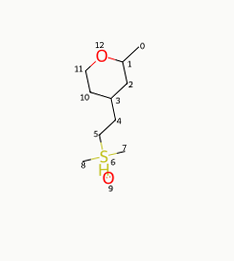 CC1CC(CC[SH](C)(C)=O)CCO1